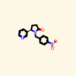 O=C1CC[C@H](c2cccnc2)N1Cc1ccc([N+](=O)[O-])cc1